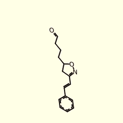 O=CCCCC1CC(/C=C/c2ccccc2)=NO1